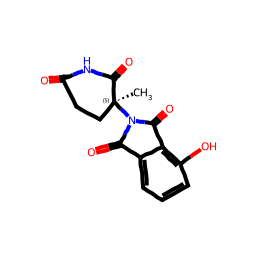 C[C@]1(N2C(=O)c3cccc(O)c3C2=O)CCC(=O)NC1=O